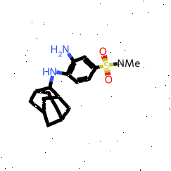 CNS(=O)(=O)c1ccc(NC2C3CC4CC(C3)CC2C4)c(N)c1